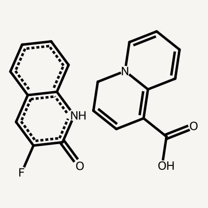 O=C(O)C1=C2C=CC=CN2CC=C1.O=c1[nH]c2ccccc2cc1F